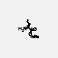 CC=C(N)C(=O)OCCCC